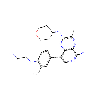 CCc1nc2c(N)ncc(-c3ccc(NCCN)c(OC)c3)c2nc1NC1CCOCC1